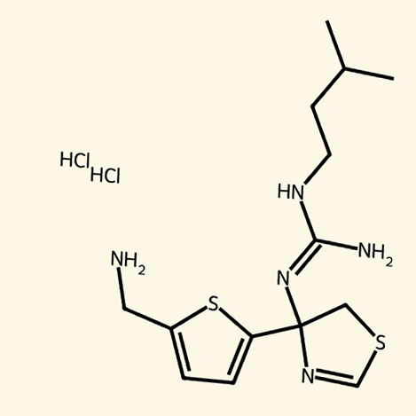 CC(C)CCN/C(N)=N/C1(c2ccc(CN)s2)CSC=N1.Cl.Cl